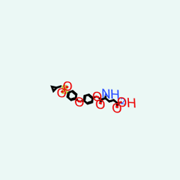 NC(CCC(=O)O)C(=O)Oc1ccc(Oc2ccc(S(=O)(=O)CC3CC3)cc2)cc1